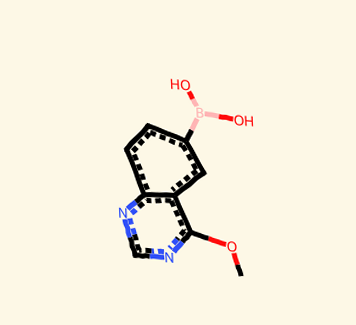 COc1ncnc2ccc(B(O)O)cc12